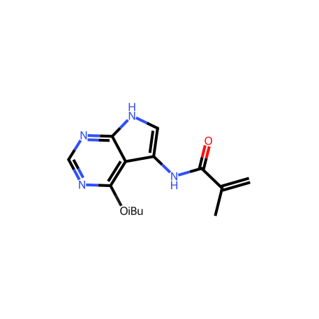 C=C(C)C(=O)Nc1c[nH]c2ncnc(OCC(C)C)c12